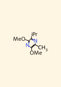 COc1nc(OC)c(C(C)C)nc1C